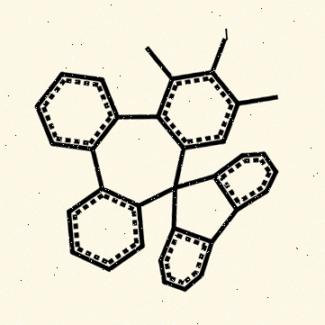 Cc1cc2c(c(C)c1I)-c1ccccc1-c1ccccc1C21c2ccccc2-c2ccccc21